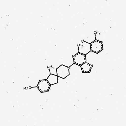 COc1ccc2c(c1)[C@@H](N)C1(CCN(c3nc(C)c(-c4ccnc(C)c4Cl)n4nccc34)CC1)C2